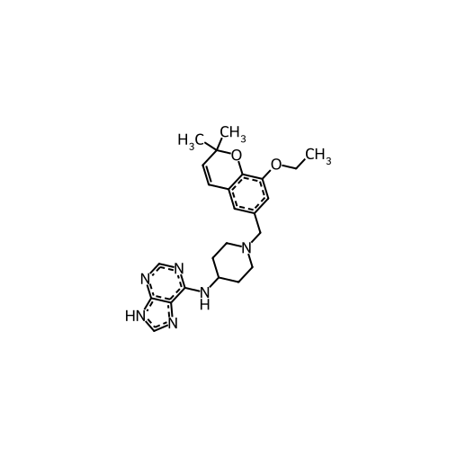 CCOc1cc(CN2CCC(Nc3ncnc4[nH]cnc34)CC2)cc2c1OC(C)(C)C=C2